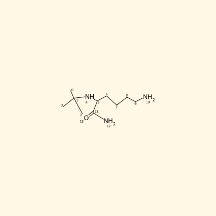 CC(C)(C)NC(CCCCN)C(N)=O